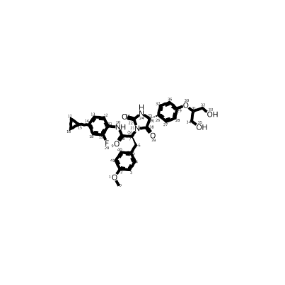 COc1ccc(C[C@@H](C(=O)Nc2ccc(C3CC3)cc2F)N2C(=O)N[C@H](c3ccc(OC(CO)CO)cc3)C2=O)cc1